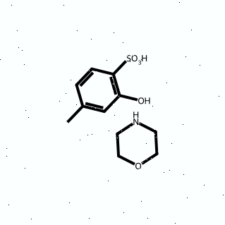 C1COCCN1.Cc1ccc(S(=O)(=O)O)c(O)c1